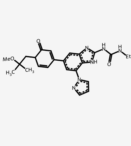 CCNC(=O)Nc1nc2cc(C3=CC(=O)C(CC(C)(C)OC)C=C3)cc(-n3cccn3)c2[nH]1